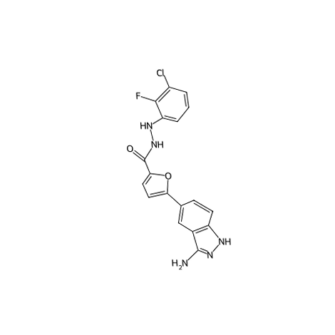 Nc1n[nH]c2ccc(-c3ccc(C(=O)NNc4cccc(Cl)c4F)o3)cc12